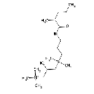 CCCC(C)C(=O)NCCC[N+](C)(C)CC(O)C[N+](C)(C)C